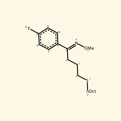 CCCCCCCCSCCCC(=NOC)c1ccc(F)cc1